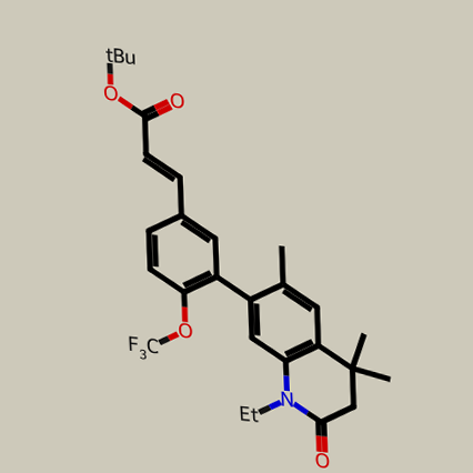 CCN1C(=O)CC(C)(C)c2cc(C)c(-c3cc(/C=C/C(=O)OC(C)(C)C)ccc3OC(F)(F)F)cc21